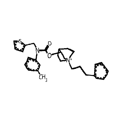 Cc1cccc(N(Cc2cccs2)C(=O)OC2C[N+]3(CCCc4ccccc4)CCC2CC3)c1